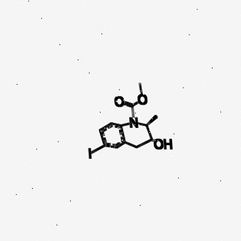 COC(=O)N1c2ccc(I)cc2C[C@@H](O)[C@@H]1C